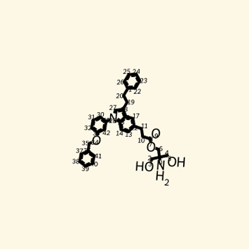 NC(CO)(CO)COC(=O)CCc1ccc2c(c1)c(CCc1ccccc1)cn2-c1cccc(OCc2ccccc2)c1